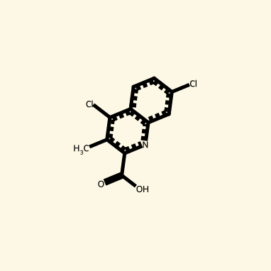 Cc1c(C(=O)O)nc2cc(Cl)ccc2c1Cl